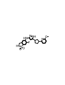 COc1cccc(C2CCC(c3cc(Nc4cc5c(cc4F)S(=O)(=O)NC5)n[nH]3)C2)n1